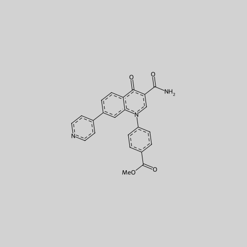 COC(=O)c1ccc(-n2cc(C(N)=O)c(=O)c3ccc(-c4ccncc4)cc32)cc1